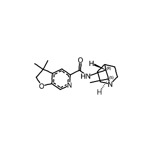 C[C@H]1[C@H](NC(=O)c2cc3c(cn2)OCC3(C)C)C2CCN1CC2